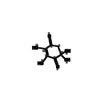 O=C1CC(O)(O)C(=O)C(O)=C1O